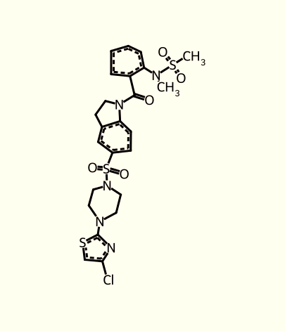 CN(c1ccccc1C(=O)N1CCc2cc(S(=O)(=O)N3CCN(c4nc(Cl)cs4)CC3)ccc21)S(C)(=O)=O